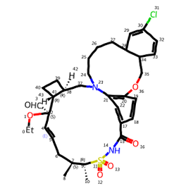 CCO[C@]1(C=O)/C=C/C[C@H](C)[C@@H](C)S(=O)(=O)NC(=O)c2ccc3c(c2)N(CCCCC2C=C(Cl)C=CC2CO3)C[C@@H]2CC[C@H]21